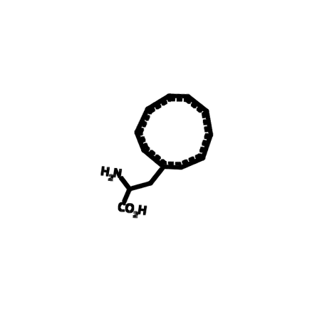 NC(Cc1ccccccccc1)C(=O)O